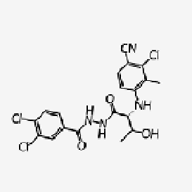 Cc1c(N[C@@H](C(=O)NNC(=O)c2ccc(Cl)c(Cl)c2)C(C)O)ccc(C#N)c1Cl